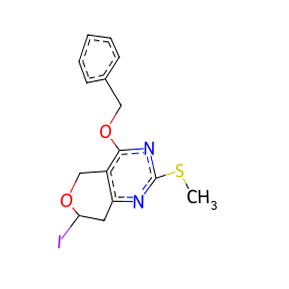 CSc1nc2c(c(OCc3ccccc3)n1)COC(I)C2